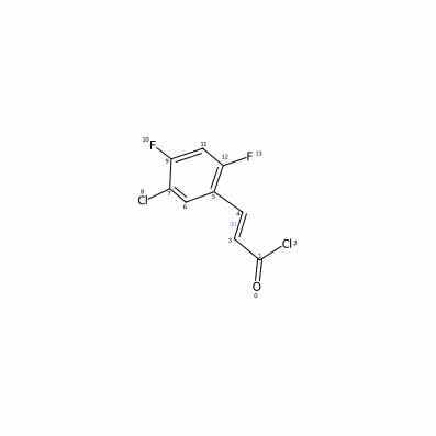 O=C(Cl)/C=C/c1cc(Cl)c(F)cc1F